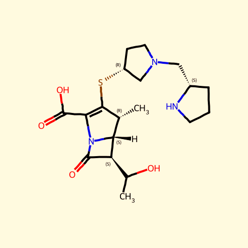 CC(O)[C@H]1C(=O)N2C(C(=O)O)=C(S[C@@H]3CCN(C[C@@H]4CCCN4)C3)[C@H](C)[C@H]12